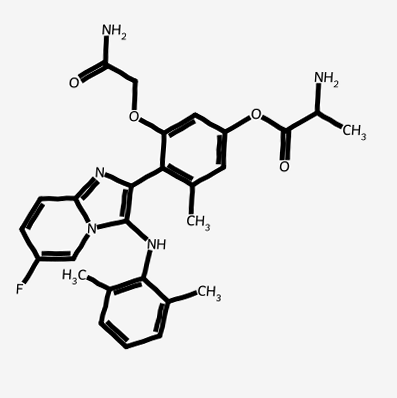 Cc1cccc(C)c1Nc1c(-c2c(C)cc(OC(=O)C(C)N)cc2OCC(N)=O)nc2ccc(F)cn12